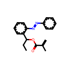 C=C(C)C(=O)OC(CC)c1ccccc1N=Nc1ccccc1